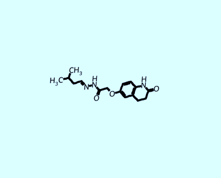 CC(C)C/C=N/NC(=O)COc1ccc2c(c1)CCC(=O)N2